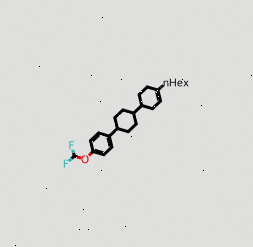 CCCCCCC1=CCC(C2CCC(c3ccc(OC(F)F)cc3)CC2)CC1